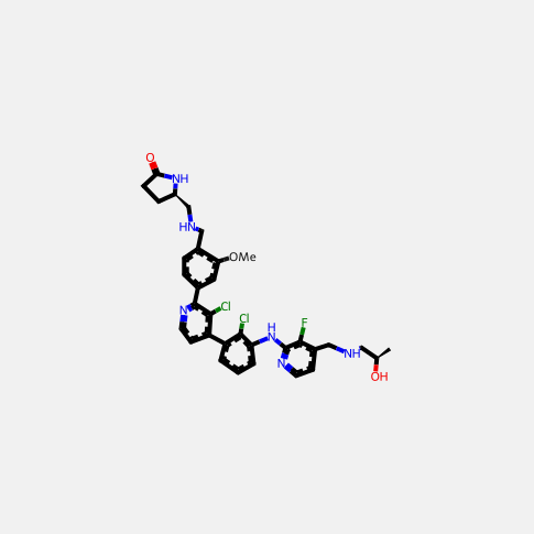 COc1cc(-c2nccc(-c3cccc(Nc4nccc(CNC[C@@H](C)O)c4F)c3Cl)c2Cl)ccc1CNC[C@H]1CCC(=O)N1